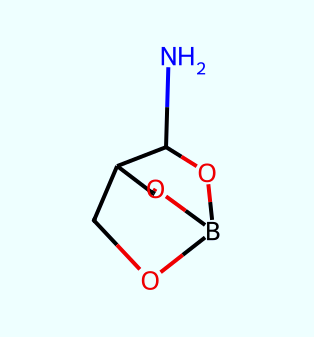 NC1OB2OCC1CO2